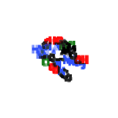 Cl.Cl.NCCC1c2ccc(-c3nc(NC4CCOCC4)ncc3Cl)cc2C(=O)N1CC(=O)N1CCc2ccccc2CC1.Nc1cc(/[As]=[As]/c2ccc(O)c(N)c2)ccc1O